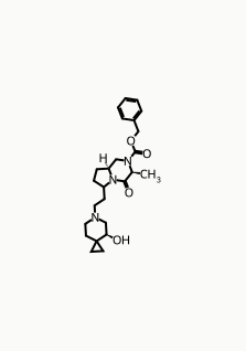 C[C@H]1C(=O)N2C(CCN3CCC4(CC4)[C@H](O)C3)CC[C@H]2CN1C(=O)OCc1ccccc1